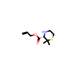 C=CCOC(=O)[C@@H]1NCCSC1(C)C